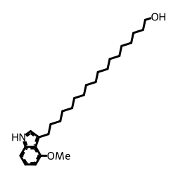 COc1cccc2[nH]cc(CCCCCCCCCCCCCCCCCCO)c12